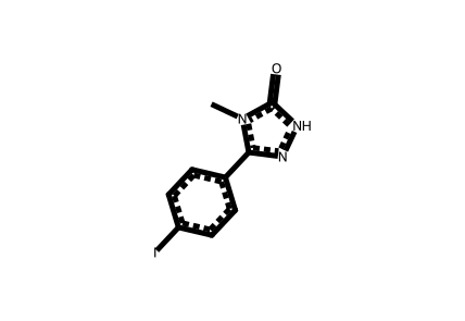 Cn1c(-c2ccc(I)cc2)n[nH]c1=O